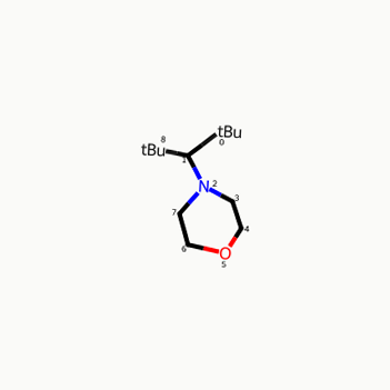 CC(C)(C)C(N1CCOCC1)C(C)(C)C